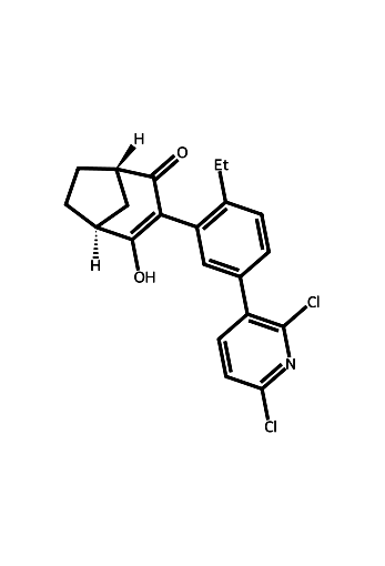 CCc1ccc(-c2ccc(Cl)nc2Cl)cc1C1=C(O)[C@H]2CC[C@@H](C2)C1=O